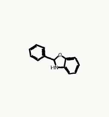 c1ccc(C2Nc3ccccc3O2)cc1